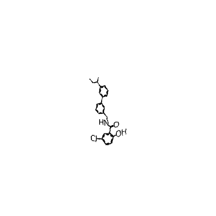 CCC(C)c1cccc(-c2cccc(CNC(=O)c3cc(Cl)ccc3O)c2)c1